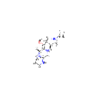 C=C(NC1CCC1)C1=CN2CC3N4CCC(C4)N3C(=C)C2=C(OC)C1=C